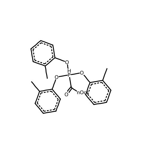 CCCCCCCCC(=O)[PH](Oc1ccccc1C)(Oc1ccccc1C)Oc1ccccc1C